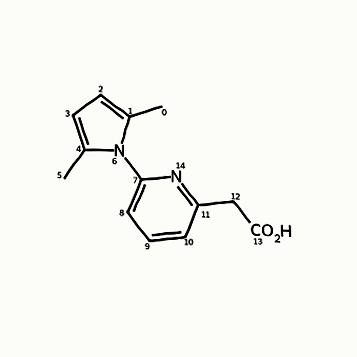 Cc1ccc(C)n1-c1cccc(CC(=O)O)n1